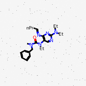 [CH2]CCC=Nc1nc(N(CC)CC)ncc1N(CC)C(=O)N(C)Cc1ccccc1